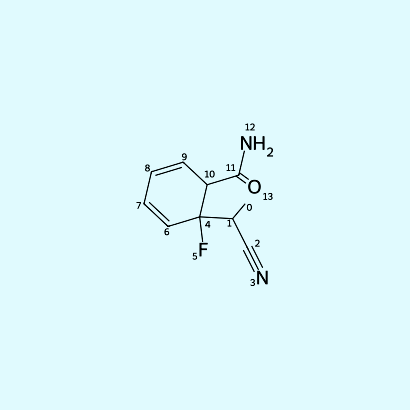 CC(C#N)C1(F)C=CC=CC1C(N)=O